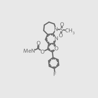 CNC(=O)Oc1c(-c2ccc(F)cc2)oc2nc3c(cc12)CCCCN3S(C)(=O)=O